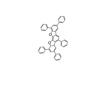 C1=C(c2ccccc2)C=C(c2ccccc2)C2Oc3c(c(-c4ccccc4)cc4c3oc3c(-c5ccccc5)cc(-c5ccccc5)cc34)C12